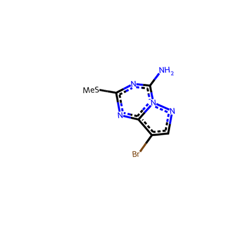 CSc1nc(N)n2ncc(Br)c2n1